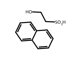 O=S(=O)(O)CCO.c1ccc2ccccc2c1